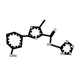 COc1cccc(-c2nc(C)c(C(=O)Nc3nnn[nH]3)s2)c1